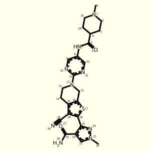 CN1CCC(C(=O)Nc2cnc(N3CCc4c(sc(-c5nn(C)cc5C(N)=O)c4C#N)C3)nc2)CC1